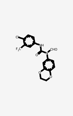 O=CN(C(=O)Nc1ccc(Cl)c(C(F)(F)F)c1)c1ccc2c(c1)OCCO2